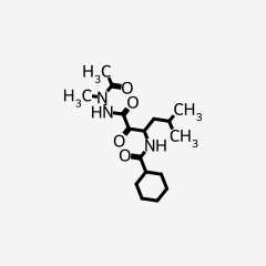 CC(=O)N(C)NC(=O)C(=O)C(CC(C)C)NC(=O)C1CCCCC1